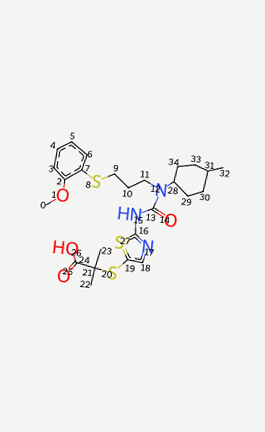 COc1ccccc1SCCCN(C(=O)Nc1ncc(SC(C)(C)C(=O)O)s1)C1CCC(C)CC1